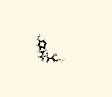 CCOc1ccc2nc(S(=O)(=O)[AsH]C(=O)C(O)=CC(=O)O)sc2c1